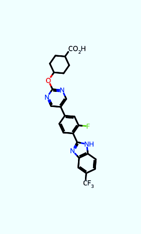 O=C(O)C1CCC(Oc2ncc(-c3ccc(-c4nc5cc(C(F)(F)F)ccc5[nH]4)c(F)c3)cn2)CC1